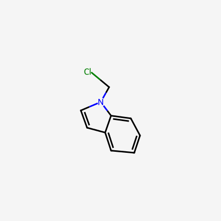 ClCn1ccc2ccccc21